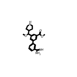 COC(=O)c1cc(-c2cccc(C(=N)N)c2)cc(C(OC)C2CCNCC2)c1